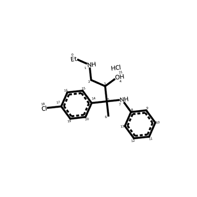 CCNCC(O)C(C)(Nc1ccccc1)c1ccc(Cl)cc1.Cl